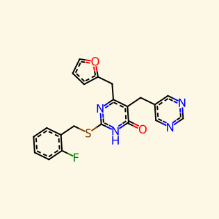 O=c1[nH]c(SCc2ccccc2F)nc(Cc2ccco2)c1Cc1cncnc1